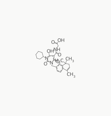 CC1=CCC(C)(C)c2cc(Cn3c(=O)c(C(=O)NCC(=O)O)c(O)n(C4CCCCC4)c3=O)ccc21